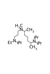 CCN(CCCN(C)C(C)CCCC(C)N(C(C)C)C(C)C)C(C)C